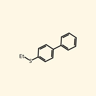 CCSc1ccc(-c2ccccc2)cc1